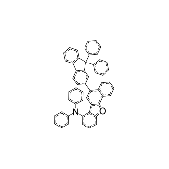 c1ccc(N(c2ccccc2)c2cccc3oc4c5ccccc5c(-c5ccc6c(c5)C(c5ccccc5)(c5ccccc5)c5ccccc5-6)cc4c23)cc1